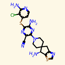 N#Cc1nc(Sc2ccnc(N)c2Cl)c(N)nc1N1CCC2(CC1)Cc1ncsc1[C@H]2N